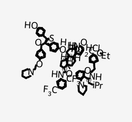 CCOc1cc(CC(=O)N[C@@H](CC(C)C)c2ccccc2N2CCCCC2)ccc1C(=O)O.C[C@]12C=CC(=O)N[C@@H]1CC[C@@H]1[C@@H]2CC[C@]2(C)[C@@H](C(=O)Nc3cc(C(F)(F)F)ccc3C(F)(F)F)CC[C@@H]12.Cl.O=C(c1ccc(OCCN2CCCCC2)cc1)c1c(-c2ccc(O)cc2)sc2cc(O)ccc12